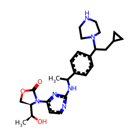 CC(Nc1nccc(N2C(=O)OC[C@@H]2[C@H](C)O)n1)c1ccc(C(CC2CC2)N2CCNCC2)cc1